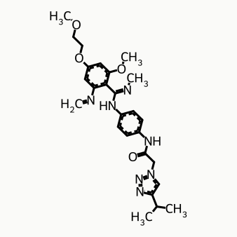 C=Nc1cc(OCCOC)cc(OC)c1/C(=N\C)Nc1ccc(NC(=O)Cn2cc(C(C)C)nn2)cc1